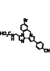 N#Cc1ccc(-c2cc3n(c2)Cc2cc(Br)ccc2-n2c(CNC(=O)O)cnc2-3)cc1